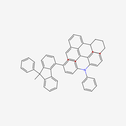 CC1(c2ccccc2)c2ccccc2-c2c(-c3ccc(N(c4ccccc4)c4ccccc4-c4cccc5cccc(C6CCCCC6)c45)cc3)cccc21